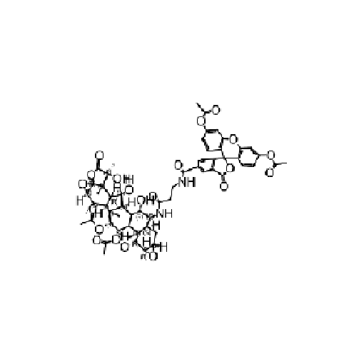 CC(=O)Oc1ccc2c(c1)Oc1cc(OC(C)=O)ccc1C21OC(=O)c2cc(C(=O)NCCC(=O)N[C@@H]3[C@H](O)C4C([C@H](OC(C)=O)[C@H](OC(C)=O)[C@]5(C)[C@H]6[C@H](C)[C@H]7O[C@]78OC(=O)[C@@](C)(O)[C@]8(C)[C@@H]6[C@H](O)[C@@H]45)[C@]4(C)[C@@H]3C[C@@H]3O[C@@H]3[C@@H]4O)ccc21